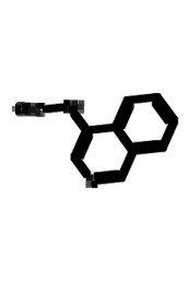 O=[C]Nc1cncc2ccccc12